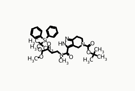 COC(=O)C(CCN(C)C(=O)c1[nH]nc2c1CN(C(=O)OC(C)(C)C)CC2)O[Si](c1ccccc1)(c1ccccc1)C(C)(C)C